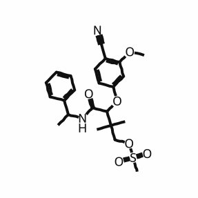 COc1cc(OC(C(=O)NC(C)c2ccccc2)C(C)(C)COS(C)(=O)=O)ccc1C#N